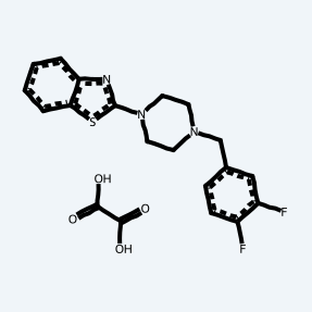 Fc1ccc(CN2CCN(c3nc4ccccc4s3)CC2)cc1F.O=C(O)C(=O)O